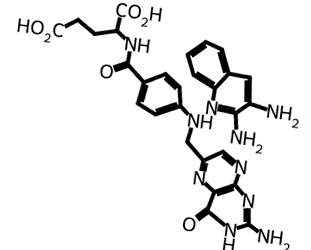 Nc1cc2ccccc2nc1N.Nc1nc2ncc(CNc3ccc(C(=O)NC(CCC(=O)O)C(=O)O)cc3)nc2c(=O)[nH]1